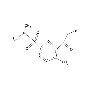 Cc1ccc(S(=O)(=O)N(C)C)cc1C(=O)CBr